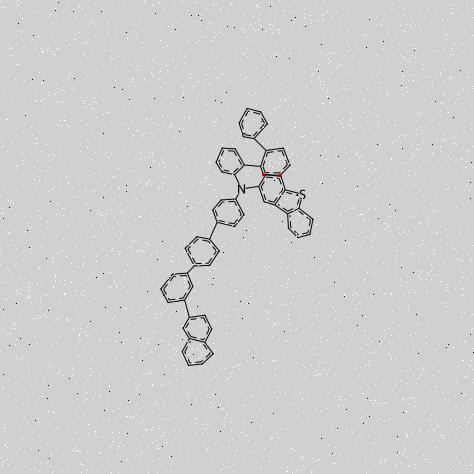 c1ccc(-c2ccccc2-c2ccccc2N(c2ccc(-c3ccc(-c4cccc(-c5ccc6ccccc6c5)c4)cc3)cc2)c2ccc3sc4ccccc4c3c2)cc1